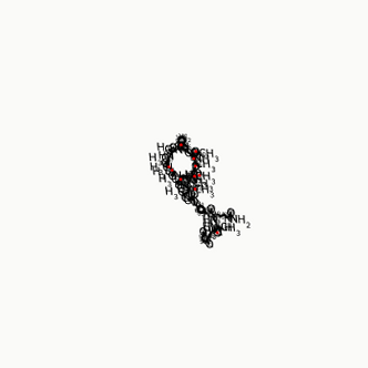 C=C1C(=O)N[C@@H](C)C(=O)N(C)[C@@H](C)C(=O)N[C@@H]([C@H](OC(=O)[C@@H](NC(C)=O)[C@H](OC(=O)OCc2ccc(NC(=O)[C@H](CCCNC(N)=O)NC[C@@H](NC(=O)CCN3C(=O)C=CC3=O)C(C)C)cc2)C(C)C)C(C)C)C(=O)N(C)[C@@H]([C@@H](C)OC)C(=O)O[C@H](C)[C@H](NC(C)=O)C(=O)O[C@H](Cc2ccccc2)C(=O)N1C